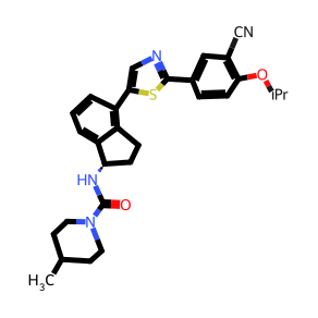 CC1CCN(C(=O)N[C@H]2CCc3c(-c4cnc(-c5ccc(OC(C)C)c(C#N)c5)s4)cccc32)CC1